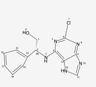 OC[C@H](Nc1nc(Cl)nc2nc[nH]c12)c1ccccc1